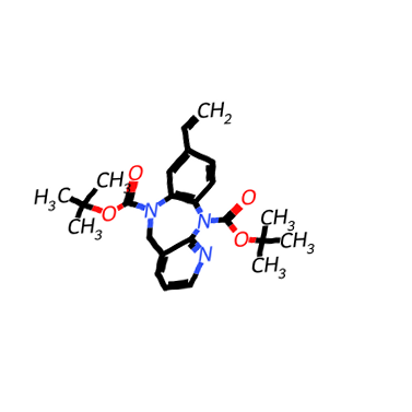 C=Cc1ccc2c(c1)N(C(=O)OC(C)(C)C)Cc1cccnc1N2C(=O)OC(C)(C)C